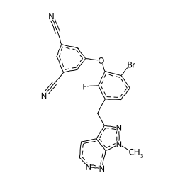 Cn1nc(Cc2ccc(Br)c(Oc3cc(C#N)cc(C#N)c3)c2F)c2ccnnc21